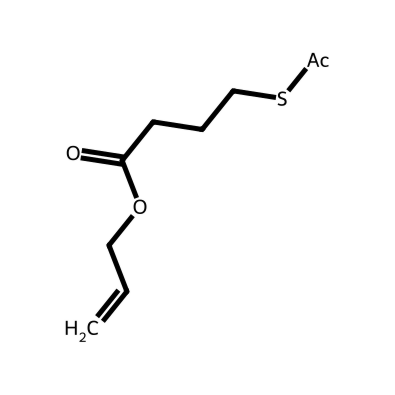 C=CCOC(=O)CCCSC(C)=O